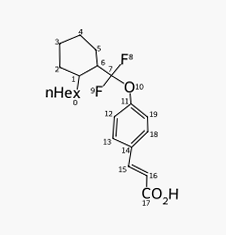 CCCCCCC1CCCCC1C(F)(F)Oc1ccc(/C=C/C(=O)O)cc1